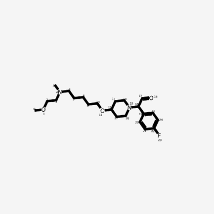 COCCN(C)CCCCCOC1CCN(C(C=O)c2ccc(F)cc2)CC1